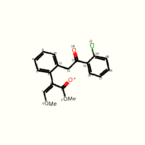 COC=C(C(=O)OC)c1ccccc1CC(=O)c1ccccc1Cl